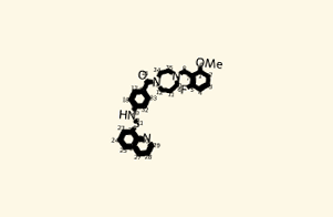 COC1CC=CC(F)=C1CN1CCCN(C(=O)c2ccc(NSc3cccc4cccnc34)cc2)CC1